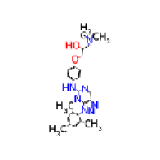 Cc1cc(C)c(-n2nnc3cnc(Nc4ccc(OCC(O)CN(C)C)cc4)nc32)c(C)c1